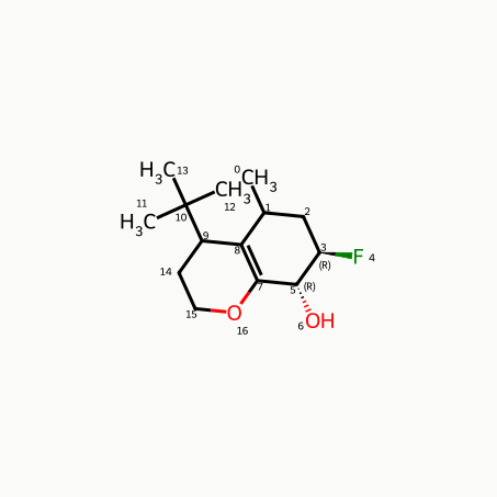 CC1C[C@@H](F)[C@H](O)C2=C1C(C(C)(C)C)CCO2